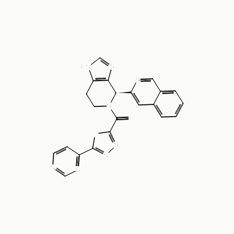 O=C(c1nnc(-c2ccncn2)o1)N1CCc2[nH]cnc2[C@H]1c1cc2ccccc2cn1